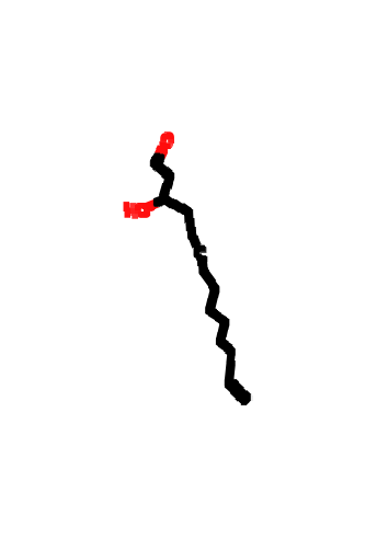 C=CCCCCCCCCCC(O)CC=O